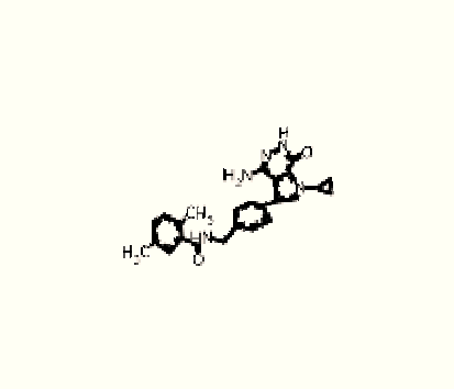 Cc1ccc(C)c(C(=O)NCc2ccc(-c3cn(C4CC4)c4c(=O)[nH]nc(N)c34)cc2)c1